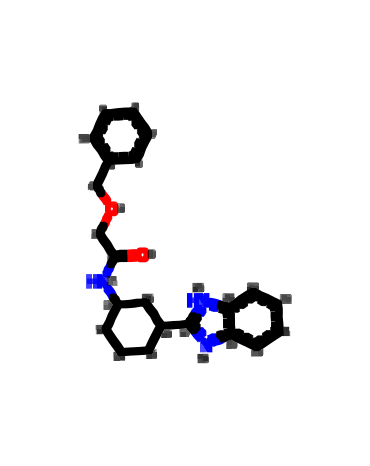 O=C(COCc1ccccc1)NC1CCCC(c2nc3ccccc3[nH]2)C1